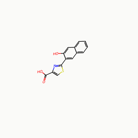 O=C(O)c1csc(-c2cc3ccccc3cc2O)n1